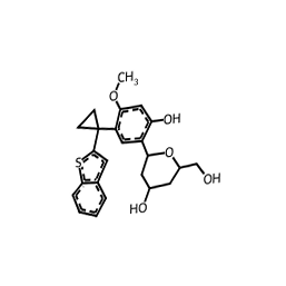 COc1cc(O)c(C2CC(O)CC(CO)O2)cc1C1(c2cc3ccccc3s2)CC1